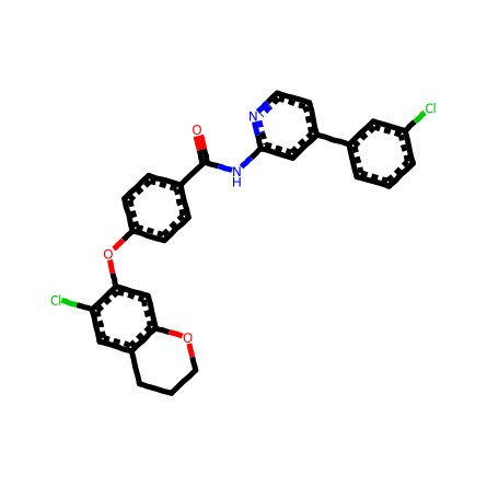 O=C(Nc1cc(-c2cccc(Cl)c2)ccn1)c1ccc(Oc2cc3c(cc2Cl)CCCO3)cc1